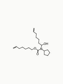 C=CCCCCCOC(=O)N(C(O)CCCCC=C)C1CCCC1